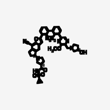 COc1nc(-c2cccc(-c3cccc(-c4cc5cc6c(c(C#N)c5o4)CC[C@H]6N4CC[C@@H](C(=O)NS(=O)(=O)C5CC5)C4)c3C)c2C)cnc1CN1CC[C@@H](O)C1